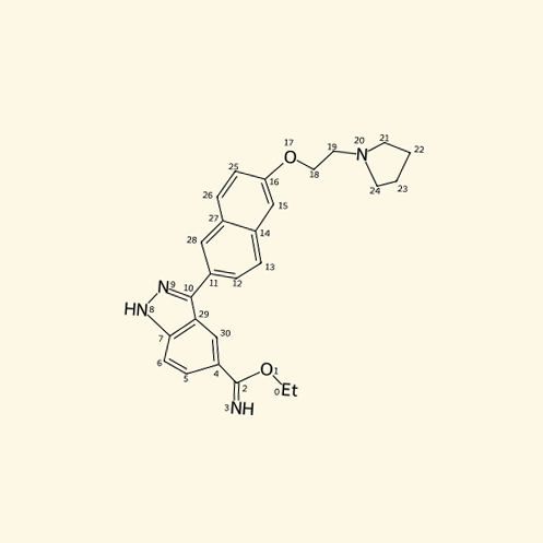 CCOC(=N)c1ccc2[nH]nc(-c3ccc4cc(OCCN5CCCC5)ccc4c3)c2c1